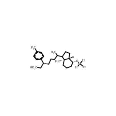 CC[Si](CC)(CC)O[C@@H]1CCC[C@@]2(C)C(C(C)CCC[C@@H](CC(=O)O)c3ccc(C(F)(F)F)cc3)CC[C@H]12